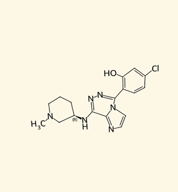 CN1CCC[C@@H](Nc2nnc(-c3ccc(Cl)cc3O)n3ccnc23)C1